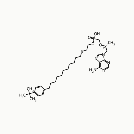 C[C@H](Cn1cnc2c(N)ncnc21)OCP(=O)(O)OCCSCCCCCCCCCCCc1ccc(C(C)(C)C)cc1